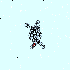 Cc1cc(C)cc(Oc2cc3c4c(cc(Oc5cc(C)cc(C)c5)c5c6c(Oc7cc(C)cc(C)c7)cc7c8c(cc(Oc9cc(C)cc(C)c9)c(c2c45)c86)C(=O)N(C(C(=O)N(c2ccc(OCC4CO4)cc2)c2ccc(OCC4CO4)cc2)c2ccc4c(c2)oc2ccccc24)C7=O)C(=O)N(C(C(=O)N(c2ccc(OCC4CO4)cc2)c2ccc(OCC4CO4)cc2)c2ccc4c(c2)oc2ccccc24)C3=O)c1